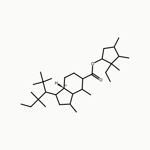 CCC(C)(C)C(C1CC(C)C2C(C)C(C(=O)OC3CC(C)C(C)C3(C)CC)CC[C@@H]12)C(C)(C)C